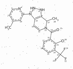 Cc1ccnc(N2NNC3=C2C=CN(C(=O)c2cccc(C(F)(F)F)c2Cl)C3C)c1